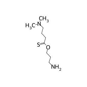 CN(C)CCCC(=S)OCCCN